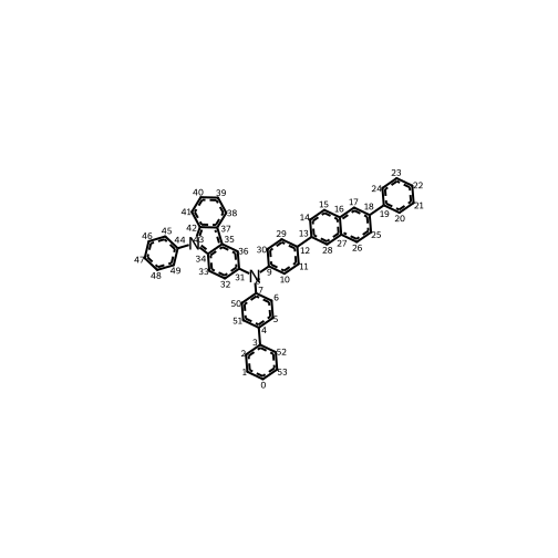 c1ccc(-c2ccc(N(c3ccc(-c4ccc5cc(-c6ccccc6)ccc5c4)cc3)c3ccc4c(c3)c3ccccc3n4-c3ccccc3)cc2)cc1